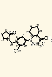 C=C(C1=C(N(N)c2ccc(CN3CCCC3=O)c(Cl)c2)CCCC1)C(F)(F)F